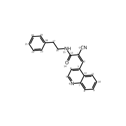 N#CC(=Cc1ccnc2ccccc12)C(=O)NCCc1ccccc1